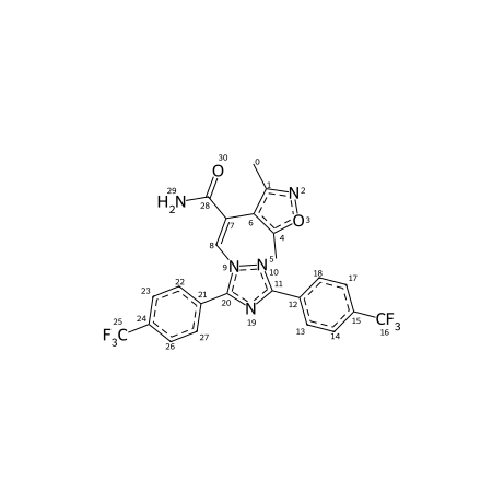 Cc1noc(C)c1/C(=C\n1nc(-c2ccc(C(F)(F)F)cc2)nc1-c1ccc(C(F)(F)F)cc1)C(N)=O